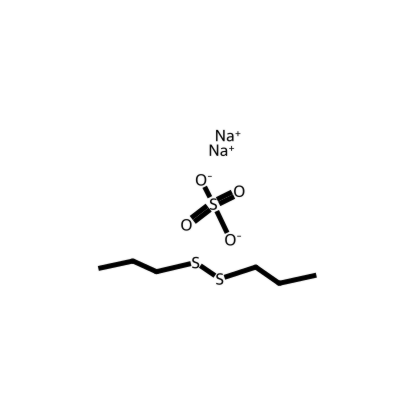 CCCSSCCC.O=S(=O)([O-])[O-].[Na+].[Na+]